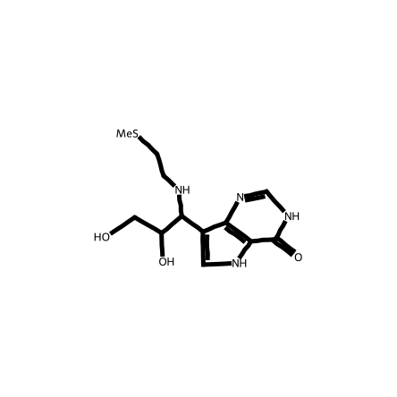 CSCCNC(c1c[nH]c2c(=O)[nH][c]nc12)C(O)CO